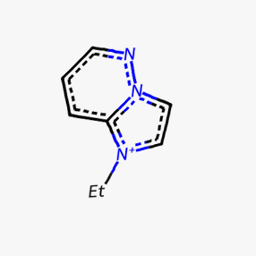 CC[n+]1ccn2ncccc21